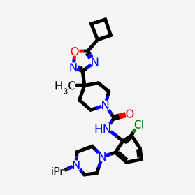 CC(C)N1CCN(c2cccc(Cl)c2NC(=O)N2CCC(C)(c3noc(C4CCC4)n3)CC2)CC1